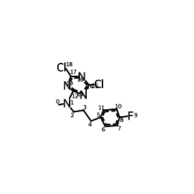 CN(CCCc1ccc(F)cc1)c1nc(Cl)nc(Cl)n1